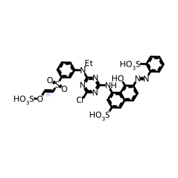 CCN(c1cccc(S(=O)(=O)/C=C/OS(=O)(=O)O)c1)c1nc(Cl)nc(Nc2cc(S(=O)(=O)O)cc3ccc(N=Nc4ccccc4S(=O)(=O)O)c(O)c23)n1